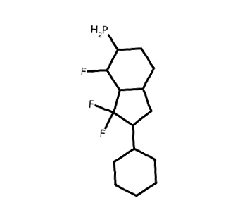 FC1C(P)CCC2CC(C3CCCCC3)C(F)(F)C21